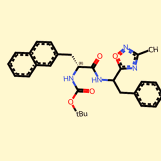 Cc1noc(C(Cc2ccccc2)NC(=O)[C@@H](Cc2ccc3ccccc3c2)NC(=O)OC(C)(C)C)n1